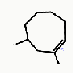 [CH2]C1CCCC/C=C(/C)C1